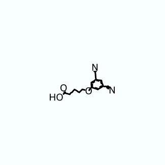 N#Cc1cc(C#N)cc(OCCCCC(=O)O)c1